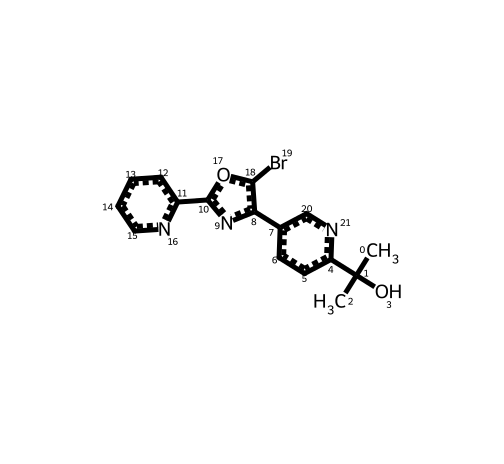 CC(C)(O)c1ccc(-c2nc(-c3ccccn3)oc2Br)cn1